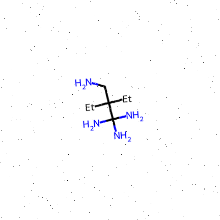 CCC(CC)(CN)C(N)(N)N